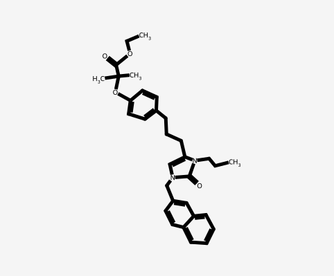 CCCn1c(CCCc2ccc(OC(C)(C)C(=O)OCC)cc2)cn(Cc2ccc3ccccc3c2)c1=O